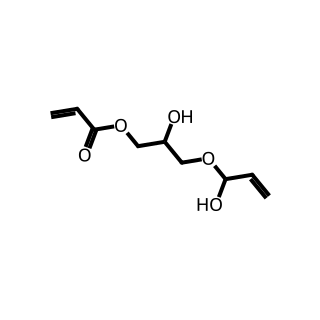 C=CC(=O)OCC(O)COC(O)C=C